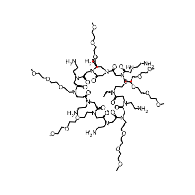 CCN(CCOCCOCCOC)C(=O)CN(CCN)C(=O)CN(CCOCCOCCOC)C(=O)CN(CCN)C(=O)CN(CCOCCOCCOC)C(=O)CN(CCN)C(=O)CN(CCOCCOCCOC)C(=O)CN(CCN)C(=O)CN(CCOCCOCCOC)C(=O)CN(CCN)C(=O)CN(CCOCCOCCOC)C(=O)CNCCN